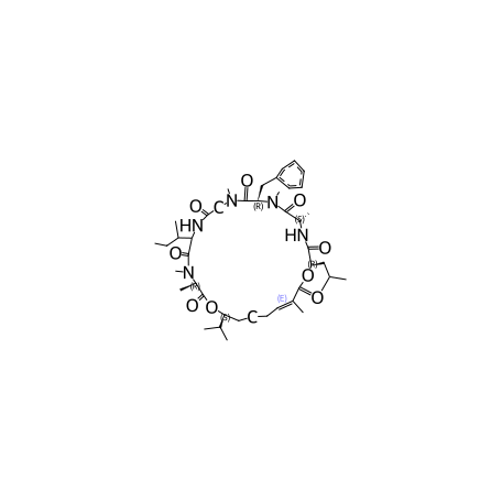 CCC(C)C1NC(=O)CN(C)C(=O)[C@@H](Cc2ccccc2)N(C)C(=O)[C@H](C)NC(=O)[C@@H](CC(C)C)OC(=O)/C(C)=C/CCC[C@@H](C(C)C)OC(=O)[C@@H](C)N(C)C1=O